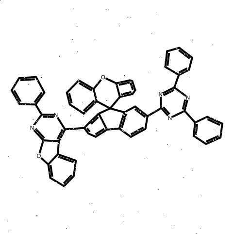 c1ccc(-c2nc(-c3ccccc3)nc(-c3ccc4c(c3)C3(c5ccccc5Oc5ccccc53)c3cc(-c5nc(-c6ccccc6)nc6oc7ccccc7c56)ccc3-4)n2)cc1